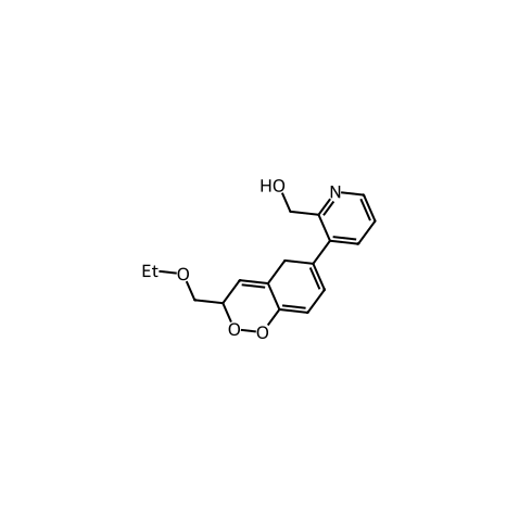 CCOCC1C=C2CC(c3cccnc3CO)=CC=C2OO1